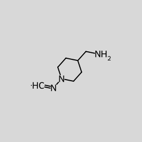 [CH]=NN1CCC(CN)CC1